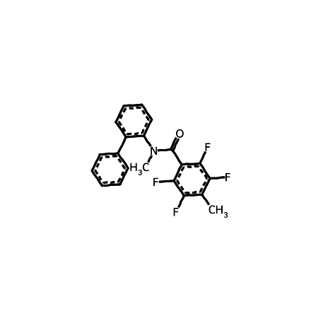 Cc1c(F)c(F)c(C(=O)N(C)c2ccccc2-c2ccccc2)c(F)c1F